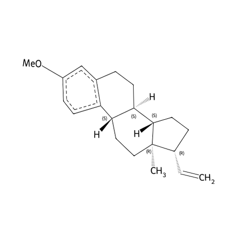 C=C[C@H]1CC[C@H]2[C@@H]3CCc4cc(OC)ccc4[C@H]3CC[C@]12C